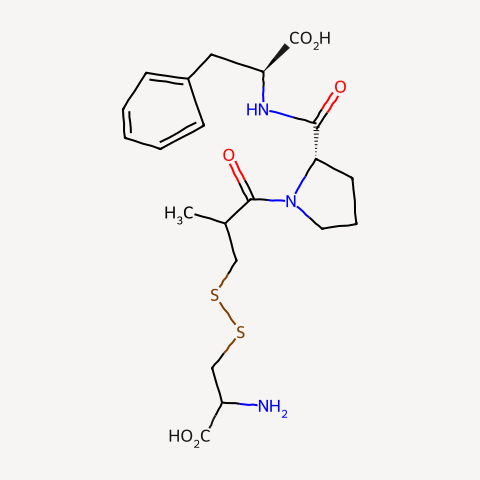 CC(CSSCC(N)C(=O)O)C(=O)N1CCC[C@H]1C(=O)N[C@@H](Cc1ccccc1)C(=O)O